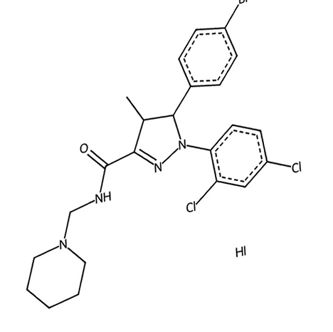 CC1C(C(=O)NCN2CCCCC2)=NN(c2ccc(Cl)cc2Cl)C1c1ccc(Br)cc1.I